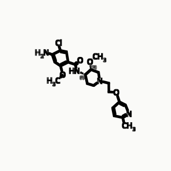 COc1cc(N)c(Cl)cc1C(=O)N[C@H]1CCN(CCOc2ccc(C)nc2)C[C@H]1OC